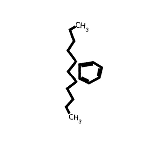 CCCCCCCCCCC.c1ccccc1